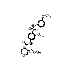 CCOc1cc(NC(=O)[C@H]2CCOC[C@@H]2COC)ccc1S(=O)(=O)Nc1cccc(OC(F)(F)F)c1